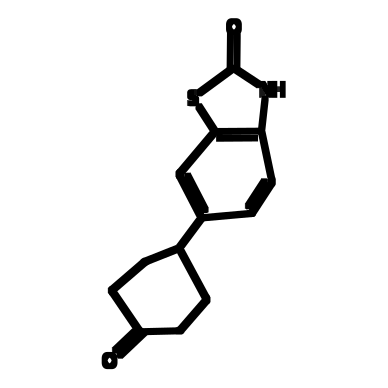 O=C1CCC(c2ccc3[nH]c(=O)sc3c2)CC1